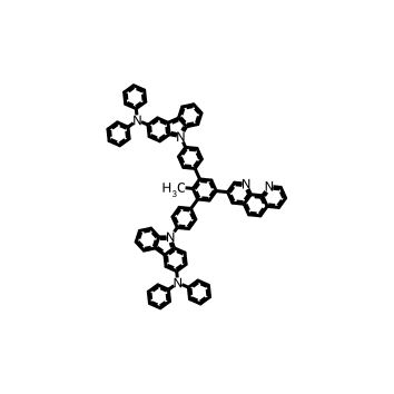 Cc1c(-c2ccc(-n3c4ccccc4c4cc(N(c5ccccc5)c5ccccc5)ccc43)cc2)cc(-c2cnc3c(ccc4cccnc43)c2)cc1-c1ccc(-n2c3ccccc3c3cc(N(c4ccccc4)c4ccccc4)ccc32)cc1